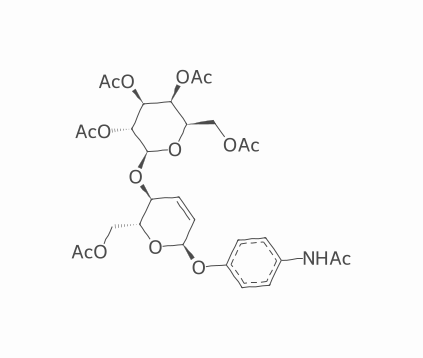 CC(=O)Nc1ccc(O[C@@H]2C=C[C@H](O[C@@H]3O[C@H](COC(C)=O)[C@H](OC(C)=O)[C@H](OC(C)=O)[C@H]3OC(C)=O)[C@@H](COC(C)=O)O2)cc1